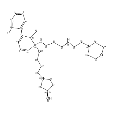 Cc1ccccc1C1=CC=CC(OCCCNCCN2CCOCC2)(OCCCN2CC[C@@H](O)C2)C1C